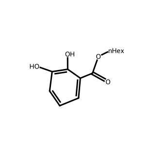 CCCCCCOC(=O)c1cccc(O)c1O